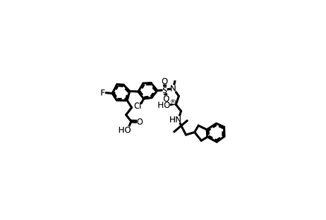 CN(C[C@H](O)CNC(C)(C)CC1Cc2ccccc2C1)S(=O)(=O)c1ccc(-c2ccc(F)cc2CCC(=O)O)c(Cl)c1